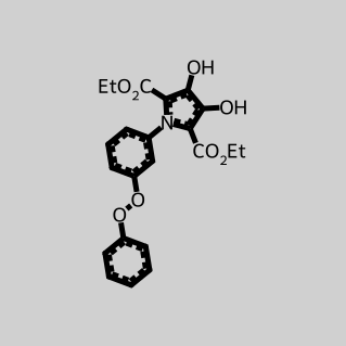 CCOC(=O)c1c(O)c(O)c(C(=O)OCC)n1-c1cccc(OOc2ccccc2)c1